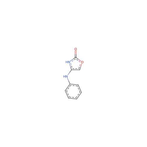 O=c1[nH]c(Nc2ccccc2)co1